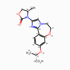 CC(C)[C@@H]1COC(=O)N1c1cn2c(n1)-c1ccc(O[C@@H](C)C(=O)O)cc1OCC2